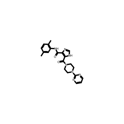 Cc1ccc(C)c(NC(=O)c2nc[nH]c2C(=O)N2CCN(c3ncccn3)CC2)c1